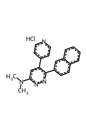 CN(C)c1cc(-c2ccncc2)c(-c2ccc3ccccc3c2)nn1.Cl